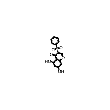 O=c1c(S(=O)(=O)c2ccccc2)coc2cc(O)cc(O)c12